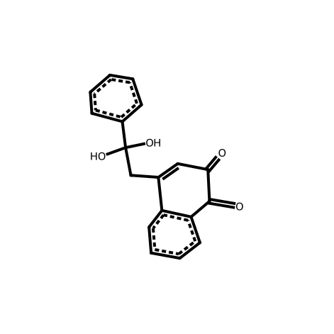 O=C1C=C(CC(O)(O)c2ccccc2)c2ccccc2C1=O